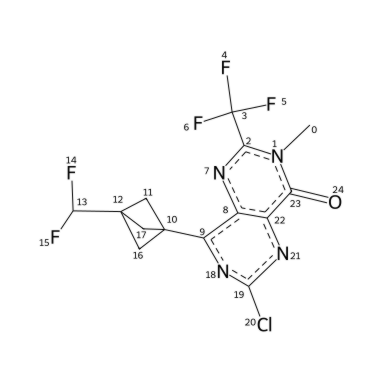 Cn1c(C(F)(F)F)nc2c(C34CC(C(F)F)(C3)C4)nc(Cl)nc2c1=O